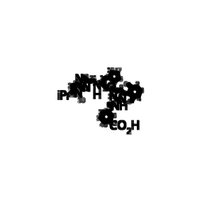 Cc1cccc(C)c1-c1cc(OCC(CC2CCCC2)NCc2cnc3cc(C(C)C)n(C)c3n2)nc(NSc2cccc(C(=O)O)c2)n1